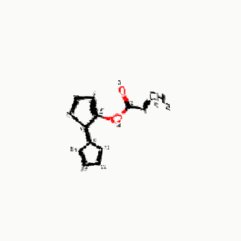 C=CC(=O)OC1=CC=CC1=C1C=CC=C1